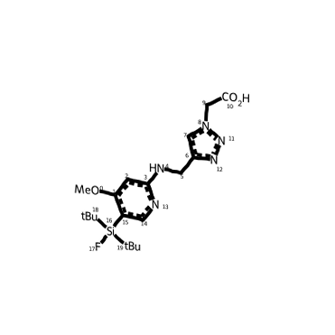 COc1cc(NCc2cn(CC(=O)O)nn2)ncc1[Si](F)(C(C)(C)C)C(C)(C)C